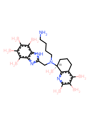 Bc1nc2c(c(B)c1B)CCC[C@]2(B)N(CCCCN)Cc1nc2c(B)c(B)c(B)c(B)c2[nH]1